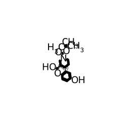 CC(C)(C)OC(=O)N1CC[C@H](c2cccc(O)c2)[C@@H](C(=O)O)C1